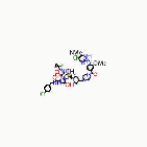 CNc1nc(Nc2ccc(C(=O)N3CCN(CC4CCC(CSC(C)(C)[C@H](NC(=O)C5(F)CC5)C(=O)N5C[C@H](O)C[C@H]5C(=O)NCc5ccc(Cl)cc5)CC4)CC3)cc2OC)ncc1Cl